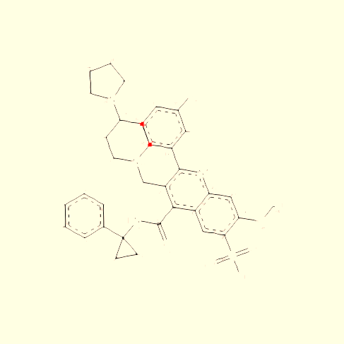 CCS(=O)(=O)c1cc2c(C(=O)NC3(c4ccccc4)CC3)c(CN3CCC(N4CCCC4)CC3)c(-c3cccc(C(F)(F)F)c3)nc2cc1OC(C)C